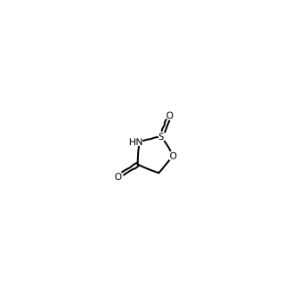 O=C1COS(=O)N1